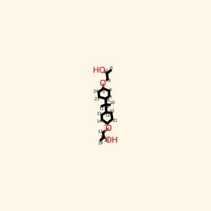 CC(O)COC1CCC(C(C)(C)C2CCC(OCC(C)O)CC2)CC1